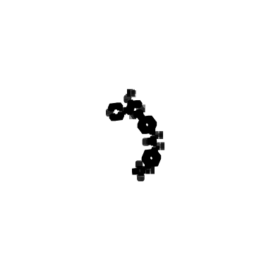 CCOc1cnc(-c2ccc(NC(=O)Nc3ccc(NS(C)(=O)=O)cc3)cc2)nc1N1CCOCC1